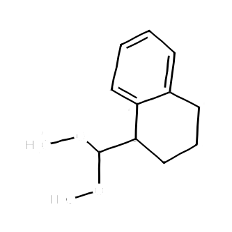 COC(OC)C1CCCc2ccccc21